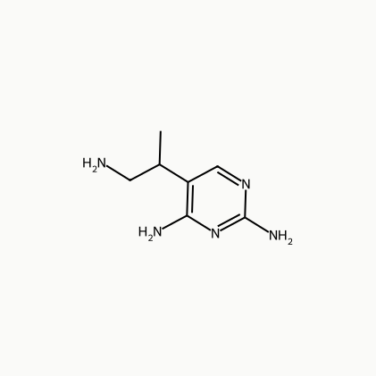 CC(CN)c1cnc(N)nc1N